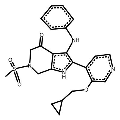 CS(=O)(=O)N1CC(=O)c2c([nH]c(-c3ccncc3OCC3CC3)c2Nc2ccccc2)C1